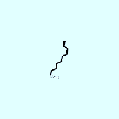 C=C/C=C\CCCCCC[CH]CCC